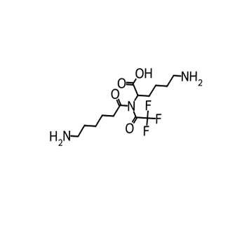 NCCCCCC(=O)N(C(=O)C(F)(F)F)C(CCCCN)C(=O)O